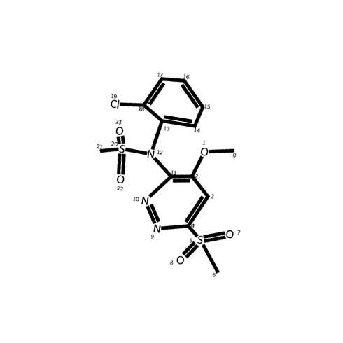 COc1cc(S(C)(=O)=O)nnc1N(c1ccccc1Cl)S(C)(=O)=O